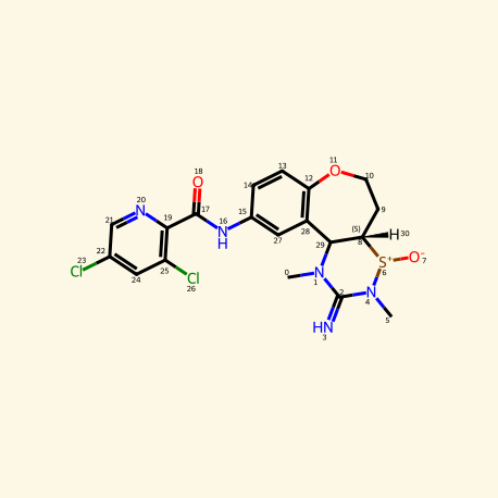 CN1C(=N)N(C)[S+]([O-])[C@H]2CCOc3ccc(NC(=O)c4ncc(Cl)cc4Cl)cc3C21